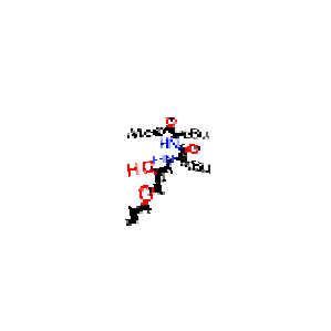 C=CCOCC(O)CNC(C(=O)NC(C(=O)OC)C(C)(C)C)C(C)(C)C